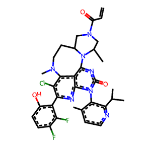 C=CC(=O)N1CC(C)N2c3nc(=O)n(-c4c(C)ccnc4C(C)C)c4nc(-c5c(O)ccc(F)c5F)c(Cl)c(c34)N(C)CCC2C1